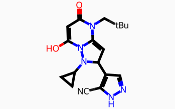 CC(C)(C)CN1C(=O)C=C(O)N2C1=CC(c1cn[nH]c1C#N)N2C1CC1